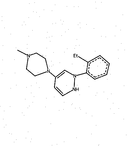 CCc1ccccc1N1C=C(N2CCN(C)CC2)C=CN1